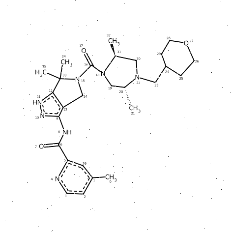 Cc1ccnc(C(=O)Nc2n[nH]c3c2CN(C(=O)N2C[C@@H](C)N(CC4CCOCC4)C[C@@H]2C)C3(C)C)c1